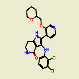 O=C1NCCc2[nH]c(-c3ccncc3OCC3CCCCO3)c(Nc3cccc(Cl)c3Cl)c21